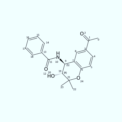 CC(=O)c1ccc2c(c1)[C@H](NC(=O)c1ccccc1)[C@@H](O)C(C)(C)O2